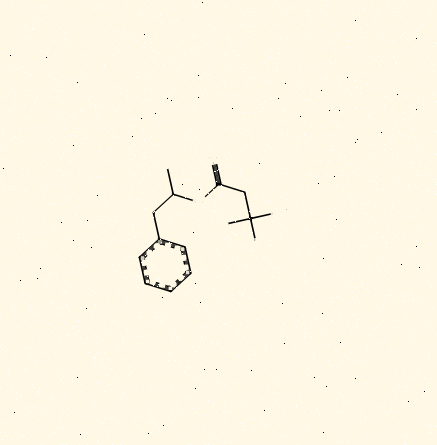 CCC(CC)(OC(C)=O)[C@@H](C)C(=O)OC(C)Cc1ccccc1